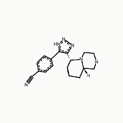 N#Cc1ccc(-c2[nH]nnc2[C@H]2CCC[C@H]3C[N]CCN32)cc1